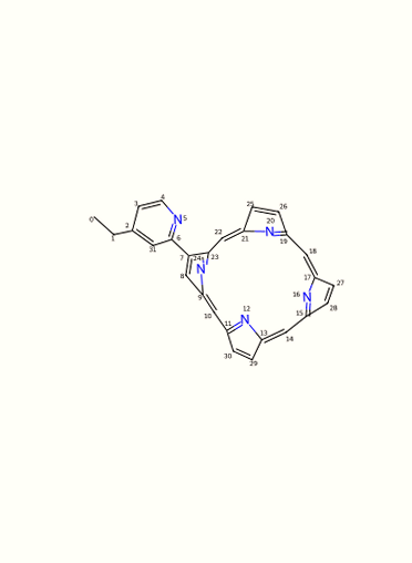 CCc1ccnc(C2=CC3=CC4=NC(=CC5=NC(=CC6=NC(=CC2=N3)C=C6)C=C5)C=C4)c1